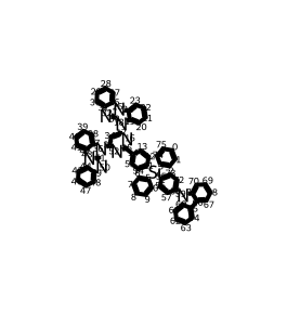 c1ccc([Si](c2ccccc2)(c2ccc(-c3nc(-n4c5ccccc5n5c6ccccc6nc45)cc(-n4c5ccccc5n5c6ccccc6nc45)n3)cc2)c2ccc(-n3c4ccccc4c4ccccc43)cc2)cc1